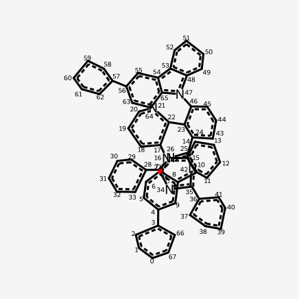 c1ccc(-c2ccc3c(c2)c2ccccc2n3-c2cccnc2-c2c(-c3nc(-c4ccccc4)nc(-c4ccccc4)n3)cccc2-n2c3ccccc3c3cc(-c4ccccc4)ccc32)cc1